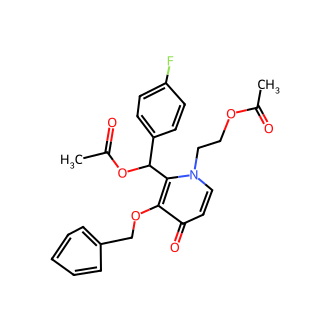 CC(=O)OCCn1ccc(=O)c(OCc2ccccc2)c1C(OC(C)=O)c1ccc(F)cc1